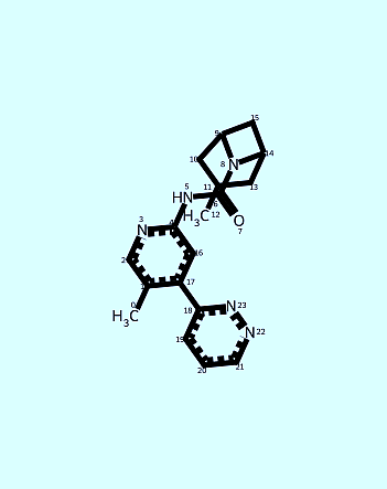 Cc1cnc(NC(=O)N2C3CC(C)CC2C3)cc1-c1cccnn1